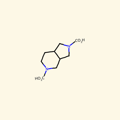 O=C(O)N1CCC2CN(C(=O)O)CC2C1